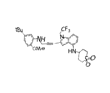 COc1ccc(C(C)(C)C)cc1NCC#Cc1cc2c(NC3CCS(=O)(=O)CC3)cccc2n1CC(F)(F)F